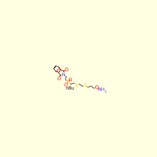 CCCCOP(=O)(CCSCCSCCCON)CCN1C(=O)C2C3C=CC(O3)C2C1=O